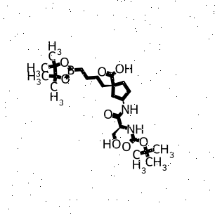 CC(C)(C)OC(=O)N[C@@H](CO)C(=O)N[C@H]1CC[C@@](CCCCB2OC(C)(C)C(C)(C)O2)(C(=O)O)C1